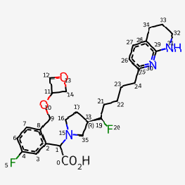 O=C(O)C(c1cc(F)ccc1COC1COC1)N1CC[C@@H](C(F)CCCCc2ccc3c(n2)NCCC3)C1